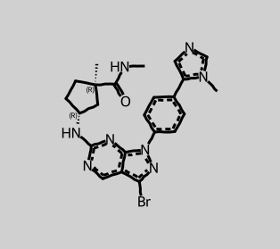 CNC(=O)[C@]1(C)CC[C@@H](Nc2ncc3c(Br)nn(-c4ccc(-c5cncn5C)cc4)c3n2)C1